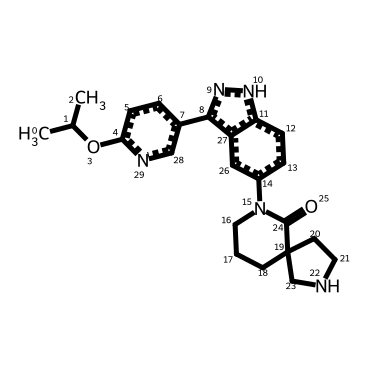 CC(C)Oc1ccc(-c2n[nH]c3ccc(N4CCCC5(CCNC5)C4=O)cc23)cn1